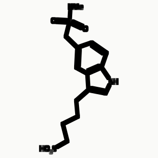 CNS(=O)(=O)Cc1ccc2[nH]cc(CCCCS(=O)(=O)O)c2c1